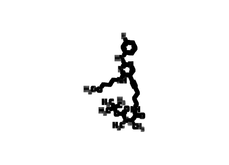 COCCCNc1nc(Nc2cccc(F)c2)ncc1C#CCCCNC(=O)[C@H](C)N(C)C(=O)OC(C)(C)C